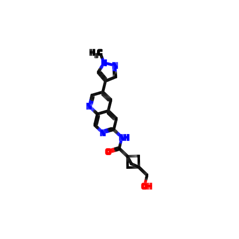 Cn1cc(-c2cnc3cnc(NC(=O)C45CC(CO)(C4)C5)cc3c2)cn1